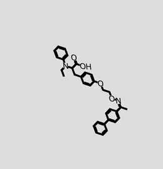 CCN(c1ccccc1)C(Cc1ccc(OCCO/N=C(/C)c2ccc(-c3ccccc3)cc2)cc1)C(=O)O